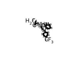 C=CC(=O)NC[C@H]1CN(c2ccc(C(F)(F)F)cc2)c2cccnc2O1